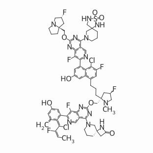 C=c1cc(O)cc(-c2ncc3c(N4CCC[C@]5(CC(=O)N5)C4)nc(OC[C@]4(CCCc5cc(F)c(Cl)c6c(-c7ncc8c(N9CCCC%10(CNS(=O)(=O)N%10)C9)nc(OC[C@@]9%10CCCN9C[C@H](F)C%10)nc8c7F)cc(O)cc56)C[C@@H](F)CN4C)nc3c2F)/c1=C(Cl)/C(F)=C\C